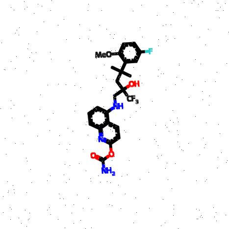 COc1ccc(F)cc1C(C)(C)CC(O)(CNc1cccc2nc(OC(N)=O)ccc12)C(F)(F)F